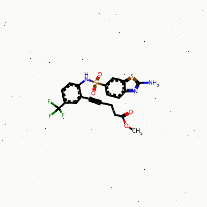 COC(=O)CCC#Cc1cc(C(F)(F)F)ccc1NS(=O)(=O)c1ccc2nc(N)sc2c1